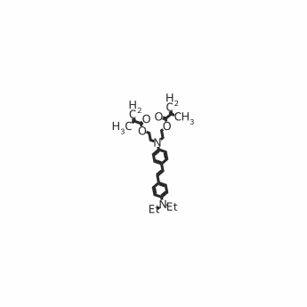 C=C(C)C(=O)OCCN(CCOC(=O)C(=C)C)c1ccc(C=Cc2ccc(N(CC)CC)cc2)cc1